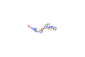 COCCNCc1ccc(-c2cc3nccc(Oc4ccc(NC(=O)n5ccn(-c6ccccc6)c5=S)c(Cl)c4)c3s2)nc1